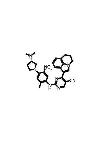 Cc1cc(N2CC[C@H](N(C)C)C2)c([N+](=O)[O-])cc1Nc1ncc(C#N)c(-c2cn3c4c(cccc24)CCC3)n1